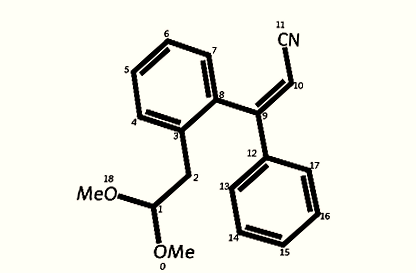 COC(Cc1ccccc1/C(=C\C#N)c1ccccc1)OC